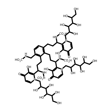 O=C(O)NCc1ccc(CCC(NC(=O)O)c2c(O)c(=O)ccn2CC(O)C(O)C(O)C(O)CO)c(CCC(NC(=O)O)c2c(O)c(=O)ccn2CC(O)C(O)C(O)C(O)CO)c1CCC(NC(=O)O)c1c(O)c(=O)ccn1CC(O)C(O)C(O)C(O)CO